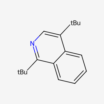 CC(C)(C)c1cnc(C(C)(C)C)c2ccccc12